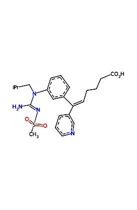 CC(C)CN(C(N)=NS(C)(=O)=O)c1cccc(/C(=C\CCCC(=O)O)c2cccnc2)c1